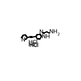 Cl.Cl.Cl.NCCc1nc2cc(C#Cc3cccnc3)ccc2[nH]1